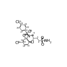 C[C@H](CCCS(N)(=O)=O)N(c1cc(Cl)ccc1Cl)S(=O)(=O)c1ccc(Cl)cc1